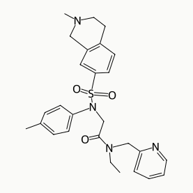 CCN(Cc1ccccn1)C(=O)CN(c1ccc(C)cc1)S(=O)(=O)c1ccc2c(c1)CN(C)CC2